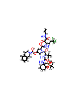 C=CCNC(=O)C(=O)C(CCC(F)(F)F)NC(=O)C1CC(OC(=O)N2CCc3ccccc3C2)CN1C(=O)C(NC(=O)NC1(CS(=O)(=O)C(C)(C)C)CCCCC1)C(C)(C)C